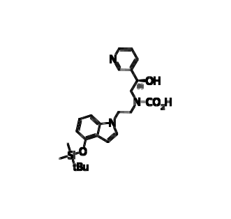 CC(C)(C)[Si](C)(C)Oc1cccc2c1ccn2CCN(C[C@H](O)c1cccnc1)C(=O)O